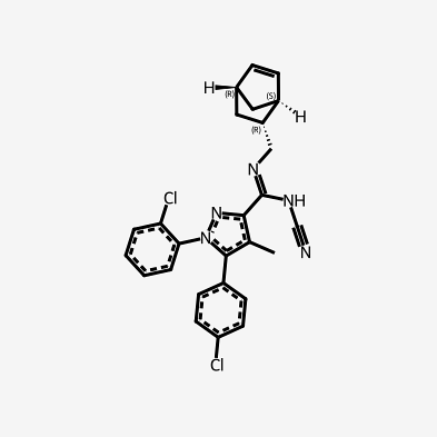 Cc1c(C(=NC[C@@H]2C[C@@H]3C=C[C@@H]2C3)NC#N)nn(-c2ccccc2Cl)c1-c1ccc(Cl)cc1